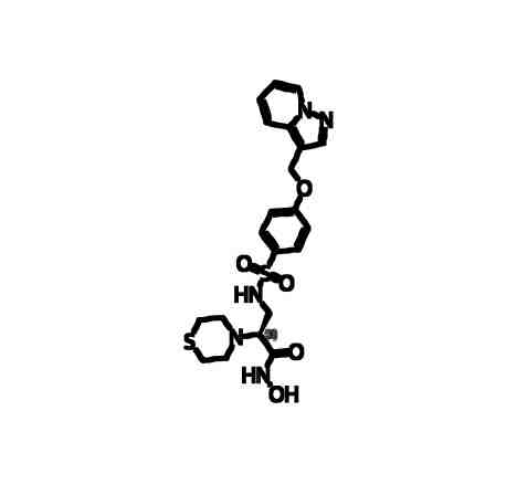 O=C(NO)[C@H](CNS(=O)(=O)c1ccc(OCc2cnn3ccccc23)cc1)N1CCSCC1